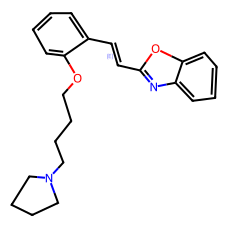 C(=C\c1ccccc1OCCCCN1CCCC1)/c1nc2ccccc2o1